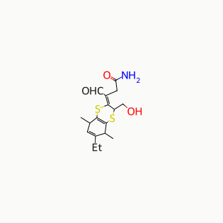 CCC1=CC(C)C2=C(SC(CO)/C(=C(/C=O)CC(N)=O)S2)C1C